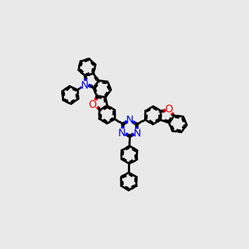 c1ccc(-c2ccc(-c3nc(-c4ccc5oc6ccccc6c5c4)nc(-c4ccc5oc6c(ccc7c8ccccc8n(-c8ccccc8)c76)c5c4)n3)cc2)cc1